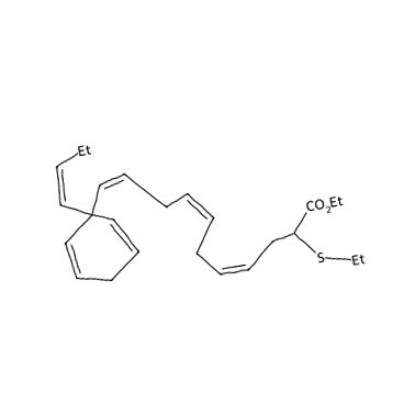 CC/C=C\C1(/C=C\C/C=C\C/C=C\CC(SCC)C(=O)OCC)C=CCC=C1